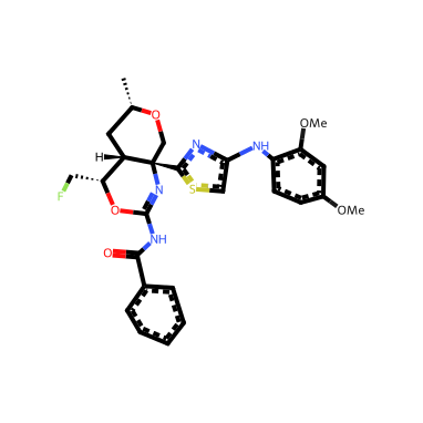 COc1ccc(Nc2csc([C@]34CO[C@@H](C)C[C@H]3[C@@H](CF)OC(NC(=O)c3ccccc3)=N4)n2)c(OC)c1